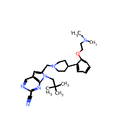 CN(C)CCOc1ccccc1C1CCN(Cc2cc3cnc(C#N)nc3n2CC(C)(C)C)CC1